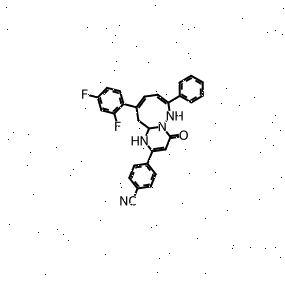 N#Cc1ccc(C2=CC(=O)N3N/C(c4ccccc4)=C\C=C(\c4ccc(F)cc4F)CC3N2)cc1